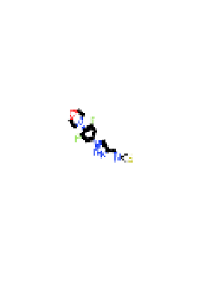 Fc1cc(-n2cc(CN=C=S)nn2)cc(F)c1N1CCOCC1